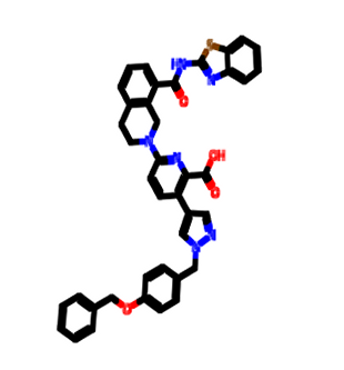 O=C(Nc1nc2ccccc2s1)c1cccc2c1CN(c1ccc(-c3cnn(Cc4ccc(OCc5ccccc5)cc4)c3)c(C(=O)O)n1)CC2